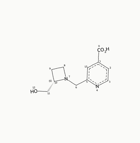 O=C(O)c1ccnc(CN2CC[C@H]2CO)c1